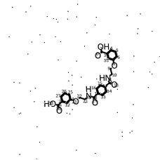 O=C(O)c1cccc(OCCNC(=O)c2ccc(C(=O)NCCOc3cccc(C(=O)O)c3)cc2)c1